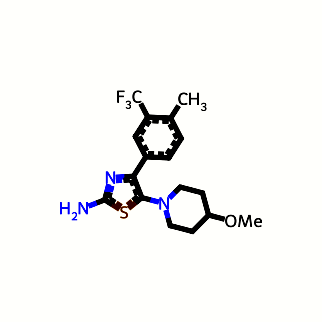 COC1CCN(c2sc(N)nc2-c2ccc(C)c(C(F)(F)F)c2)CC1